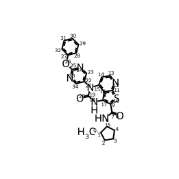 C[C@H]1CCC[C@H]1NC(=O)c1sc2nccc3c2c1NC(=O)N3c1cnc(Oc2ccccc2)nc1